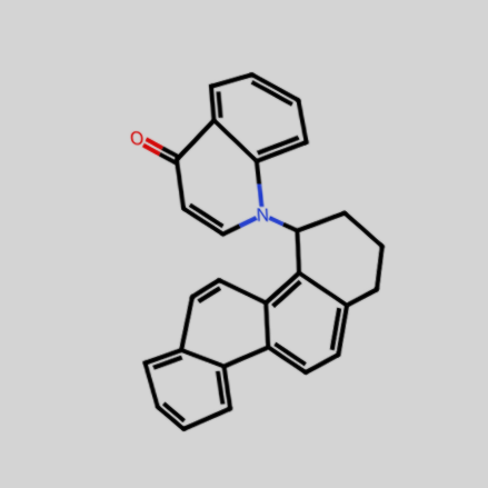 O=c1ccn(C2CCCc3ccc4c(ccc5ccccc54)c32)c2ccccc12